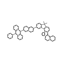 CC1(C)c2ccc(-c3ccc4cc(-c5c6ccccc6c(-c6ccccc6)c6ccccc56)ccc4c3)cc2-c2c1ccc1c2oc2ccc3ccccc3c21